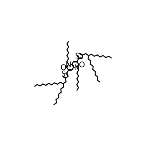 CCCCCCCCCCC(CCCCCCCC)Cc1csc(-c2cc3c(cc(-c4cc(CC(CCCCCCCC)CCCCCCCCCC)cs4)c(=O)n3CCCCCCCC)n(CCCCCCCC)c2=O)c1